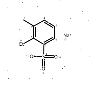 CCc1c(C)cccc1S(=O)(=O)[O-].[Na+]